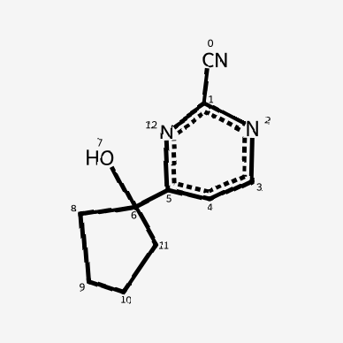 N#Cc1nccc(C2(O)CCCC2)n1